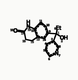 CCC(O)(c1cccnc1)c1ccc2c(c1)CCC(=O)N2